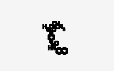 CC(C)(C)OC(=O)N1CCN(CC(=O)Nc2ccc3ccccc3c2)CC1